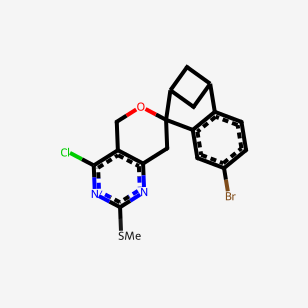 CSc1nc(Cl)c2c(n1)CC1(OC2)c2cc(Br)ccc2C2CC1C2